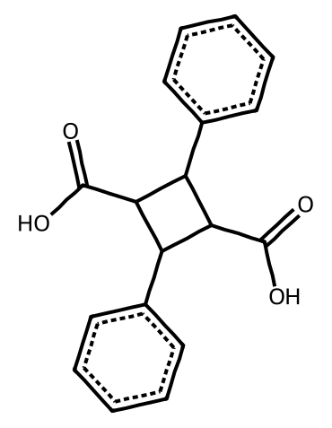 O=C(O)C1C(c2ccccc2)C(C(=O)O)C1c1ccccc1